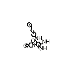 CNc1nc(N2CCC3(CC2)COC3)c(C(=O)NC2CCN(CCN3CCCC3)CC2)cc1C=N